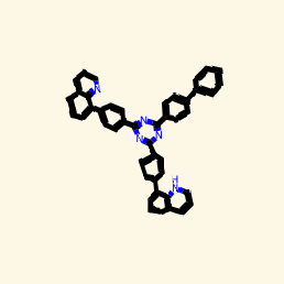 C1=Cc2cccc(-c3ccc(-c4nc(-c5ccc(-c6ccccc6)cc5)nc(-c5ccc(-c6cccc7cccnc67)cc5)n4)cc3)c2NC1